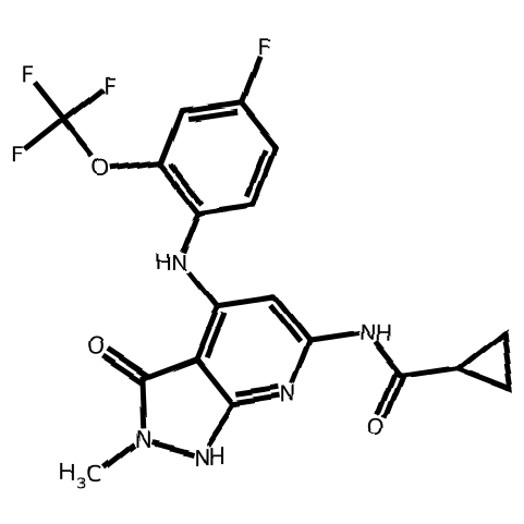 Cn1[nH]c2nc(NC(=O)C3CC3)cc(Nc3ccc(F)cc3OC(F)(F)F)c2c1=O